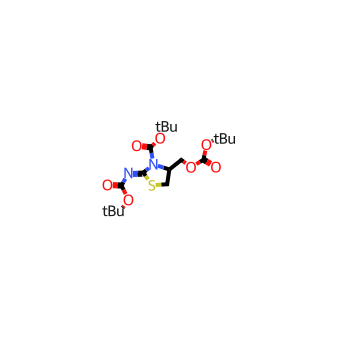 CC(C)(C)OC(=O)N=C1SCC(COC(=O)OC(C)(C)C)N1C(=O)OC(C)(C)C